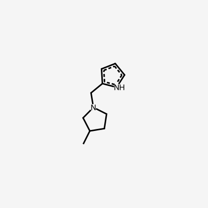 CC1CCN(Cc2ccc[nH]2)C1